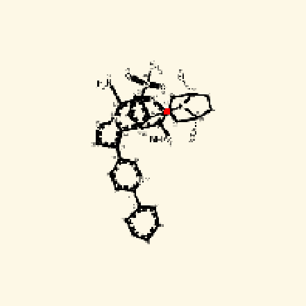 CC(=O)Nc1cccnc1N1[C@@H]2CC[C@H]1C[C@@H](c1nc3c(-c4ccc(-c5ccccc5)nc4)cnn3c(N)c1S(C)(=O)=O)C2